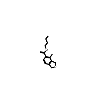 C=C(OCCCC)c1ccc2c(c1C)COC2